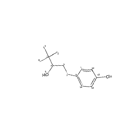 CC(C)(C)C(O)CCc1ccc(Cl)cc1